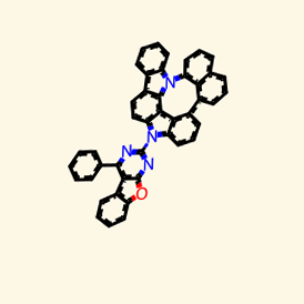 c1ccc(-c2nc(-n3c4cccc5c6cccc7cccc(c76)n6c7ccccc7c7ccc3c(c54)c76)nc3oc4ccccc4c23)cc1